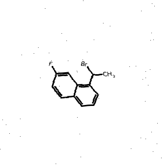 CC(Br)c1cccc2ccc(F)cc12